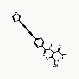 CNC(=O)C(C(=O)NO)N(C)C(=O)c1ccc(C#CC#Cc2ccoc2)cc1